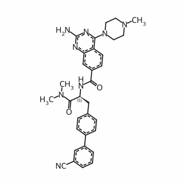 CN1CCN(c2nc(N)nc3cc(C(=O)N[C@@H](Cc4ccc(-c5cccc(C#N)c5)cc4)C(=O)N(C)C)ccc23)CC1